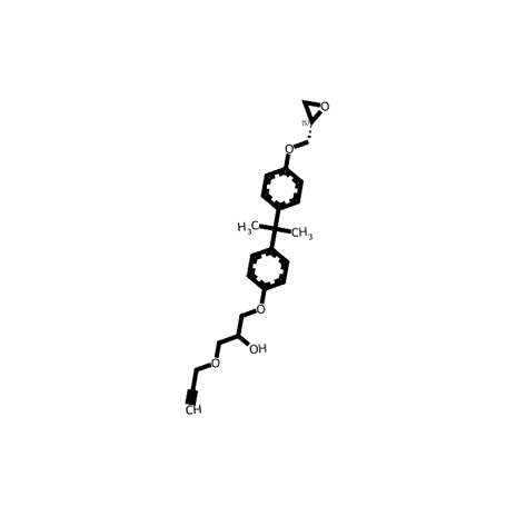 C#CCOCC(O)COc1ccc(C(C)(C)c2ccc(OC[C@@H]3CO3)cc2)cc1